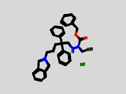 Cl.O=CCN(NCC(CCCN1Cc2ccccc2C1)(c1ccccc1)c1ccccc1)C(=O)OCc1ccccc1